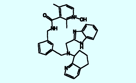 Cc1cc[n+](O)c(C)c1C(=O)NCc1cccc(CN(Cc2nc3ccccc3[nH]2)C2CCCc3cccnc32)c1